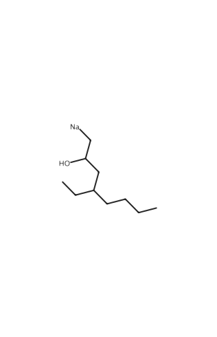 CCCCC(CC)CC(O)[CH2][Na]